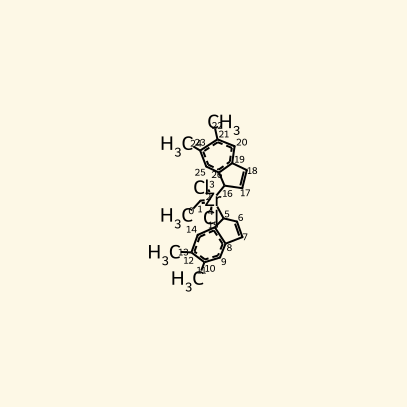 C[CH]=[Zr]([Cl])([Cl])([CH]1C=Cc2cc(C)c(C)cc21)[CH]1C=Cc2cc(C)c(C)cc21